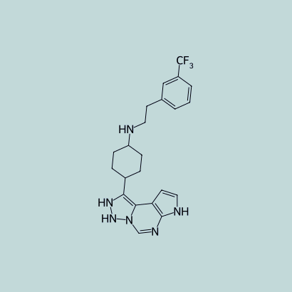 FC(F)(F)c1cccc(CCNC2CCC(C3=C4c5cc[nH]c5N=CN4NN3)CC2)c1